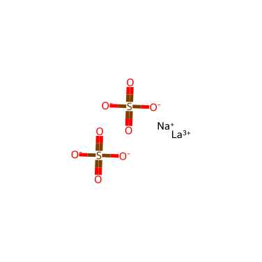 O=S(=O)([O-])[O-].O=S(=O)([O-])[O-].[La+3].[Na+]